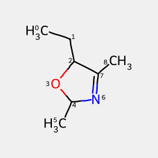 CCC1OC(C)N=C1C